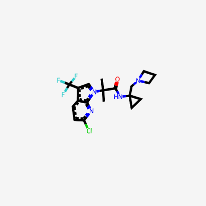 CC(C)(C(=O)NC1(CN2CCC2)CC1)n1cc(C(F)(F)F)c2ccc(Cl)nc21